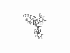 COc1cccc(O)c1C(=O)NCC1(c2cc(F)cc(F)c2)CCN(/C(=N/C#N)Oc2ccccc2)CC1